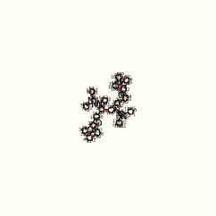 c1ccc(-c2cc(-n3c4ccc(-c5cc(-c6ccc7c(c6)oc6cc8c(cc67)-c6ccccc6C86c7ccccc7-c7ccccc76)cc6c5c5ccccc5n6-c5cc(-c6ccccc6)nc(-c6ccccc6)n5)cc4c4ccc(-c5cccc6c5oc5cc7c(cc56)-c5ccccc5C75c6ccccc6-c6ccccc65)cc43)nc(-c3ccccc3)n2)cc1